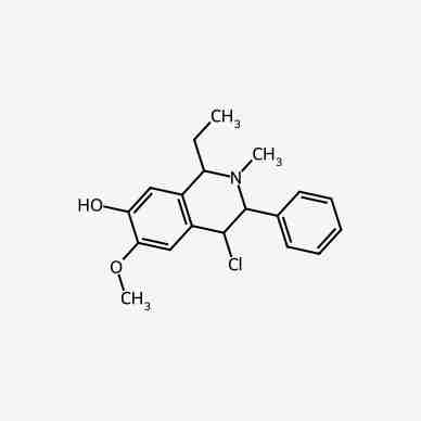 CCC1c2cc(O)c(OC)cc2C(Cl)C(c2ccccc2)N1C